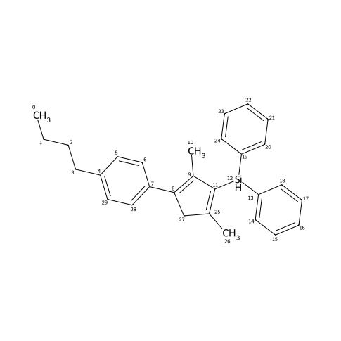 CCCCc1ccc(C2=C(C)C([SiH](c3ccccc3)c3ccccc3)=C(C)C2)cc1